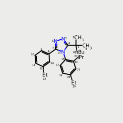 CCCCC(C)(C)c1nnc(-c2cccc(CC)c2)n1-c1ccc(CC)cc1C(C)C